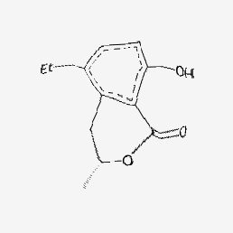 CCc1ccc(O)c2c1C[C@@H](C)OC2=O